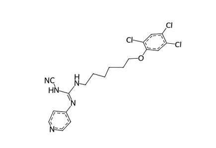 N#CN/C(=N\c1ccncc1)NCCCCCCOc1cc(Cl)c(Cl)cc1Cl